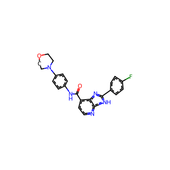 O=C(Nc1ccc(N2CCOCC2)cc1)c1ccnc2[nH]c(-c3ccc(F)cc3)nc12